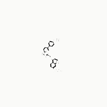 COc1ccc2c(OCc3nnc4ccc(-c5ccc(C#N)c(F)c5)cn34)ccnc2c1